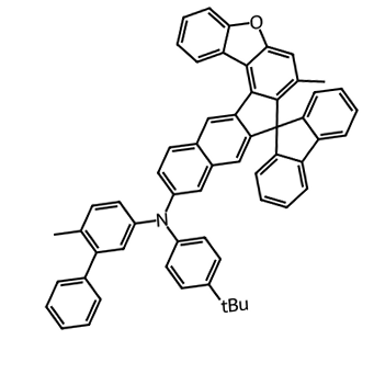 Cc1ccc(N(c2ccc(C(C)(C)C)cc2)c2ccc3cc4c(cc3c2)C2(c3ccccc3-c3ccccc32)c2c(C)cc3oc5ccccc5c3c2-4)cc1-c1ccccc1